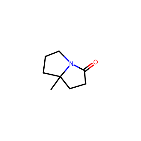 CC12CCCN1C(=O)CC2